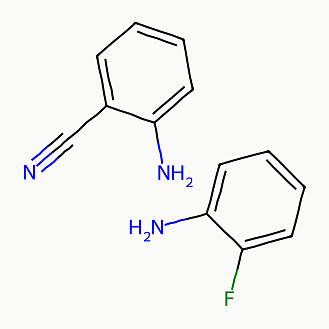 N#Cc1ccccc1N.Nc1ccccc1F